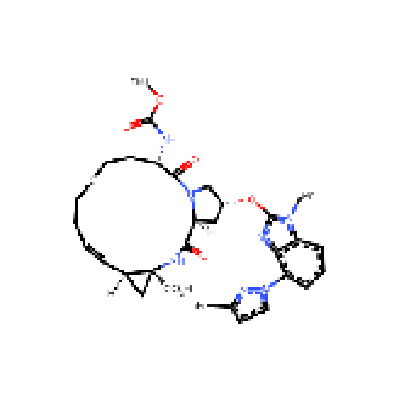 CC(C)c1ccn(-c2cccc3c2nc(O[C@@H]2C[C@H]4C(=O)N[C@]5(C(=O)O)C[C@H]5/C=C\CCCCC[C@H](NC(=O)OC(C)(C)C)C(=O)N4C2)n3C(C)C)n1